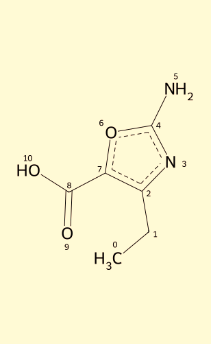 CCc1nc(N)oc1C(=O)O